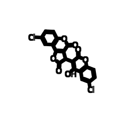 O=C1Oc2c(c(=O)oc3ccc(Cl)cc23)C1c1c(O)c2cc(Cl)ccc2oc1=O